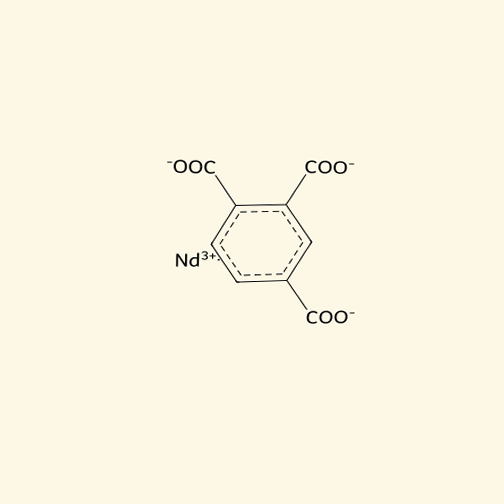 O=C([O-])c1ccc(C(=O)[O-])c(C(=O)[O-])c1.[Nd+3]